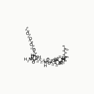 CCCOCCOCCOCCOCCC(=O)N[C@H](CCCCNC(=O)O[C@H]1CC[C@@]2(C)C(=CC[C@H]3[C@@H]4CC[C@H]([C@H](C)CCCC(C)C)[C@@]4(C)CC[C@@H]32)C1)C(=O)NN